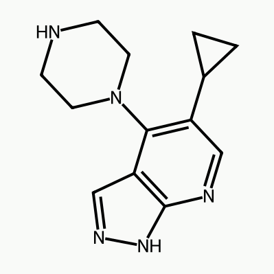 c1nc2[nH]ncc2c(N2CCNCC2)c1C1CC1